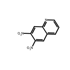 O=[N+]([O-])c1cc2cccnc2cc1[N+](=O)[O-]